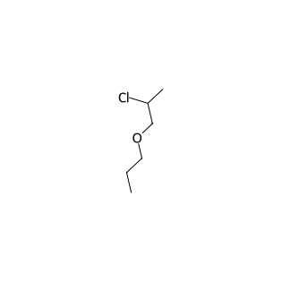 CCCOCC(C)Cl